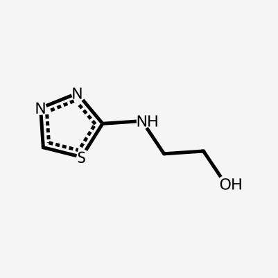 OCCNc1nncs1